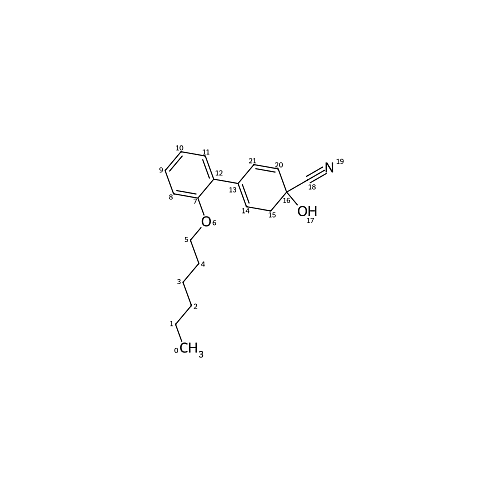 CCCCCCOc1ccccc1C1=CCC(O)(C#N)C=C1